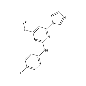 CC(C)Oc1cc(-n2ccnc2)nc(Nc2ccc(F)cc2)n1